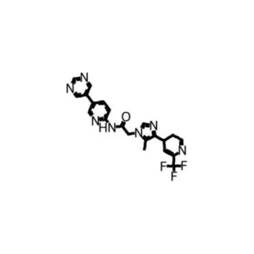 Cc1c(C2C=C(C(F)(F)F)N=CC2)ncn1CC(=O)Nc1ccc(-c2cncnc2)cn1